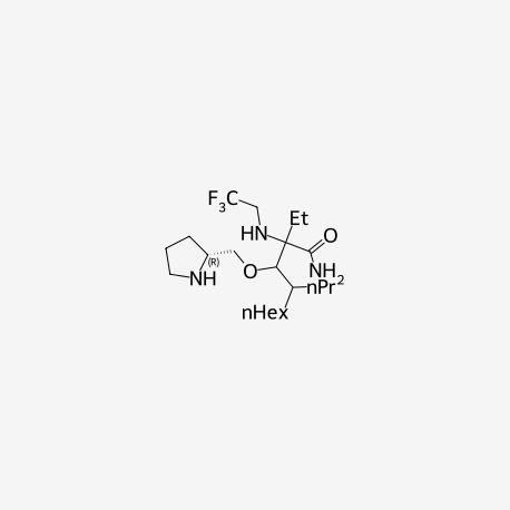 CCCCCCC(CCC)C(OC[C@H]1CCCN1)C(CC)(NCC(F)(F)F)C(N)=O